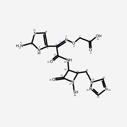 NC1NC(/C(=N/OCC(=O)O)C(=O)NC2C(=O)N(S)C2Cn2cncn2)=CS1